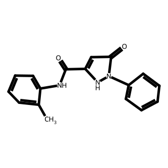 Cc1ccccc1NC(=O)c1cc(=O)n(-c2ccccc2)[nH]1